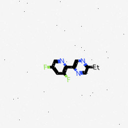 CCc1[c]nc(-c2ncc(F)cc2F)cn1